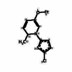 CCOC1=CN(c2ccc(Cl)s2)C(C)C=C1